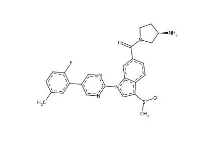 Cc1ccc(F)c(-c2cnc(-n3cc([S+](C)[O-])c4ccc(C(=O)N5CC[C@@H](N)C5)cc43)nc2)c1